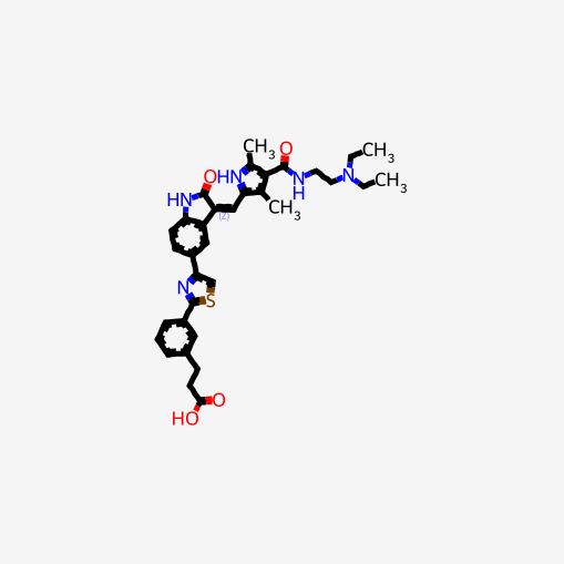 CCN(CC)CCNC(=O)c1c(C)[nH]c(/C=C2\C(=O)Nc3ccc(-c4csc(-c5cccc(CCC(=O)O)c5)n4)cc32)c1C